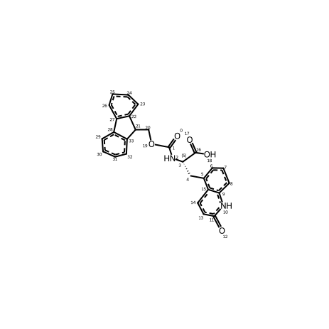 O=C(N[C@@H](Cc1cccc2[nH]c(=O)ccc12)C(=O)O)OCC1c2ccccc2-c2ccccc21